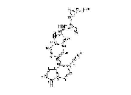 N#Cc1ccc2[nH]ncc2c1-c1ccn2nc(NC(=O)[C@@H]3C[C@@H]3F)cc2c1